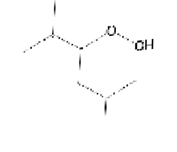 C[C](C)C(CC(C)C)OO